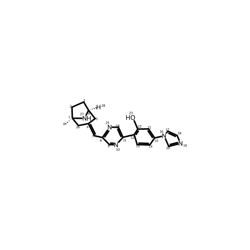 C[C@@]12CC[C@@H](C/C(=C\c3cnc(-c4ccc(-n5ccnc5)cc4O)cn3)C1)N2